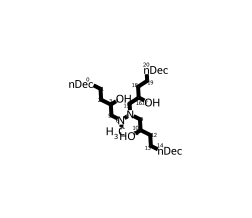 CCCCCCCCCCCCC(O)CN(C)N(CC(O)CCCCCCCCCCCC)CC(O)CCCCCCCCCCCC